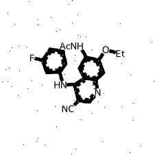 CCOc1cc2ncc(C#N)c(Nc3cccc(F)c3)c2cc1NC(C)=O